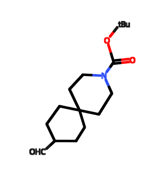 CC(C)(C)OC(=O)N1CCC2(CCC(C=O)CC2)CC1